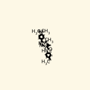 CCc1ccc(NC(=O)C2(Sc3nnc(-c4ccc(N(C)C)cc4)n3CC)CC2)cc1